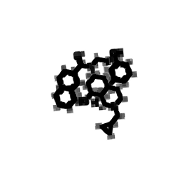 CC(C)CN(C(=O)c1ccc2ccccc2c1)[C@H]1CC(O)[C@@H]2CN(CC3CC3)CC[C@@]2(c2cccc(O)c2)C1